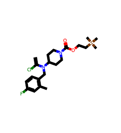 C=C(Cl)N(Cc1ccc(F)cc1C)C1CCN(C(=O)OCCS(C)(C)C)CC1